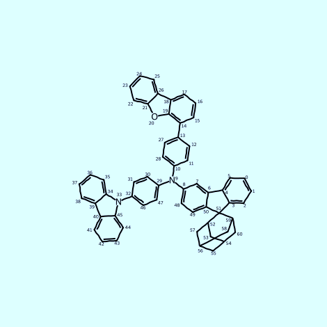 c1ccc2c(c1)-c1cc(N(c3ccc(-c4cccc5c4oc4ccccc45)cc3)c3ccc(-n4c5ccccc5c5ccccc54)cc3)ccc1C21C2CC3CC(C2)CC1C3